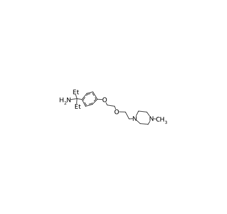 CCC(N)(CC)c1ccc(OCCOCCN2CCN(C)CC2)cc1